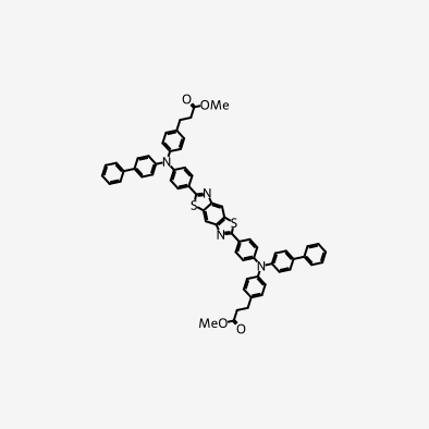 COC(=O)CCc1ccc(N(c2ccc(-c3ccccc3)cc2)c2ccc(-c3nc4cc5sc(-c6ccc(N(c7ccc(CCC(=O)OC)cc7)c7ccc(-c8ccccc8)cc7)cc6)nc5cc4s3)cc2)cc1